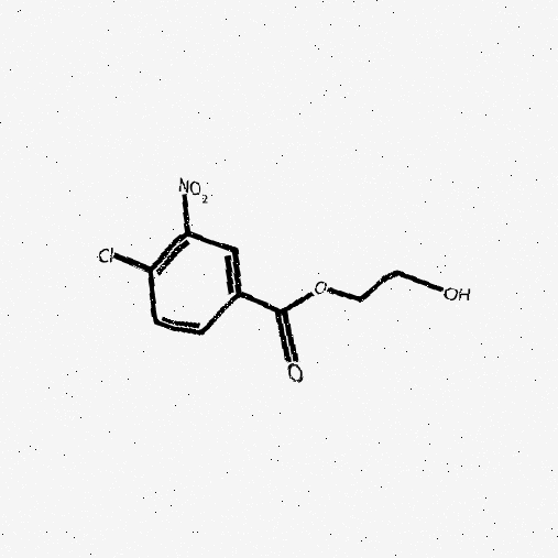 O=C(OCCO)c1ccc(Cl)c([N+](=O)[O-])c1